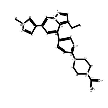 CCc1cnn2cc(-c3cnn(C)c3)cc(-c3ccc(N4CCN(C(=O)O)CC4)nc3)c12